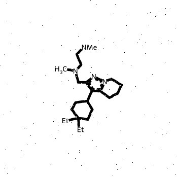 CCC1(CC)CCC(c2c(CN(C)CCNC)nn3c2CCCC3)CC1